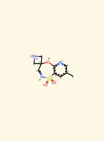 Cc1cnc2c(c1)S(=O)(=O)N=CC1(CNC1)O2